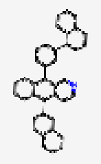 c1cc(-c2cccc3ccccc23)cc(-c2c3ccccc3c(-c3ccc4ccccc4c3)c3ccncc23)c1